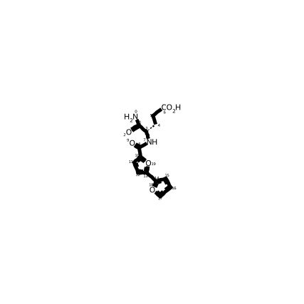 NC(=O)[C@H](CCC(=O)O)NC(=O)c1ccc(-c2ccco2)o1